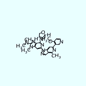 COc1ccncc1-c1cc2c(cnn2-c2cc3c(nc(N(C)C)n3C)c(N3C[C@H]4C[C@@H]3CO4)n2)c(C)n1